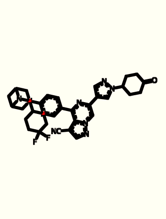 N#Cc1cnn2cc(-c3cnn(C4CCC(=O)CC4)c3)nc(-c3ccc(N4CC5CC(C4)N5CC4CCC(F)(F)CC4)nc3)c12